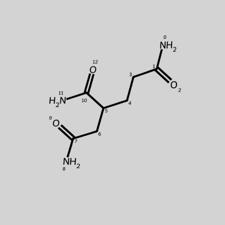 NC(=O)CCC(CC(N)=O)C(N)=O